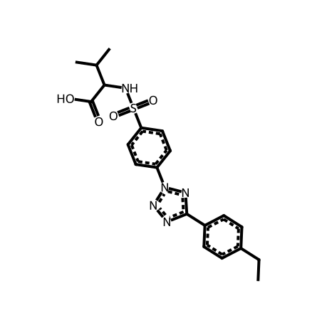 CCc1ccc(-c2nnn(-c3ccc(S(=O)(=O)NC(C(=O)O)C(C)C)cc3)n2)cc1